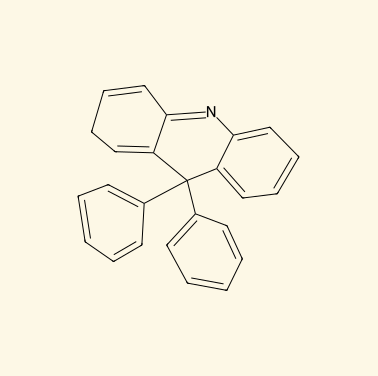 C1=CC2=Nc3ccccc3C(c3ccccc3)(c3ccccc3)C2=CC1